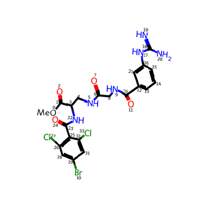 COC(=O)C(CNC(=O)CNC(=O)c1cccc(NC(=N)N)c1)NC(=O)c1c(Cl)cc(Br)cc1Cl